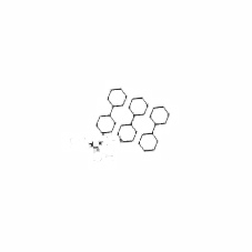 C1CCC(C2CCCCC2)CC1.C1CCC(C2CCCCC2)CC1.C1CCC(C2CCCCC2)CC1.OB(O)O